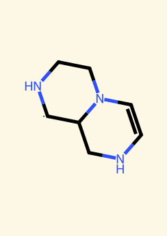 [CH]1NCCN2C=CNCC12